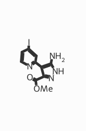 COC(=O)c1n[nH]c(N)c1-c1cc(I)ccn1